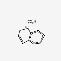 O=C(O)[C@H]1CC=Cc2ccccc21